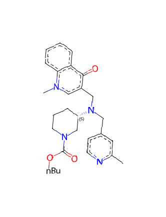 CCCCOC(=O)N1CCC[C@H](N(Cc2ccnc(C)c2)Cc2cn(C)c3ccccc3c2=O)C1